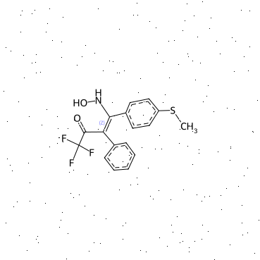 CSc1ccc(/C(NO)=C(/C(=O)C(F)(F)F)c2ccccc2)cc1